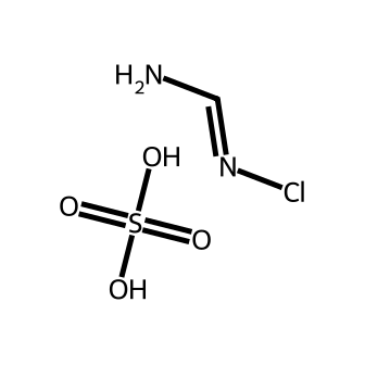 NC=NCl.O=S(=O)(O)O